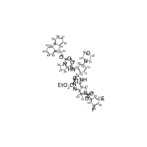 CCOC(=O)[N+]1(CC)N=C2C(=C1NC(=O)c1ccc(N3CCOCC3)cc1NC(=O)[C@@H]1CCCN1C(=O)OCC1c3ccccc3-c3ccccc31)CN(S(=O)(=O)c1cc(F)cc(F)c1)C2(C)C